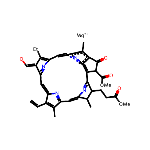 C=CC1=C(C)C2=NC1=CC1=NC(=C(CC)/C1=C\[O-])C=c1[n-]c3c(c1C)C(=O)C(C(=O)OC)C=3C1=NC(=C2)C(C)C1CCC(=O)OC.[Mg+2]